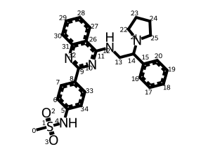 CS(=O)(=O)Nc1ccc(-c2nc(NCC(c3ccccc3)N3CCCC3)c3ccccc3n2)cc1